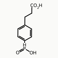 O=C(O)CCc1ccc([PH](=O)O)cc1